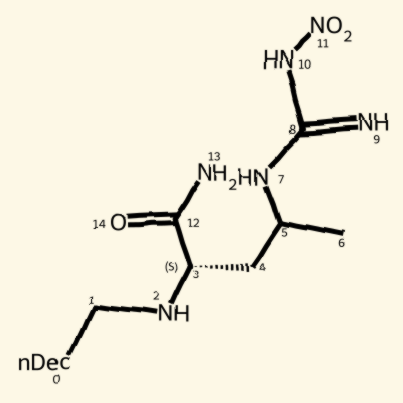 CCCCCCCCCCCN[C@@H](CC(C)NC(=N)N[N+](=O)[O-])C(N)=O